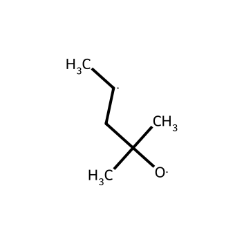 C[CH]CC(C)(C)[O]